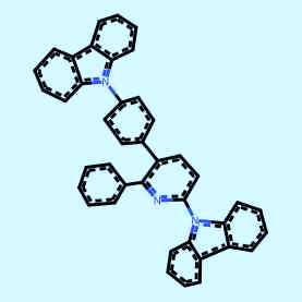 c1ccc(-c2nc(-n3c4ccccc4c4ccccc43)ccc2-c2ccc(-n3c4ccccc4c4ccccc43)cc2)cc1